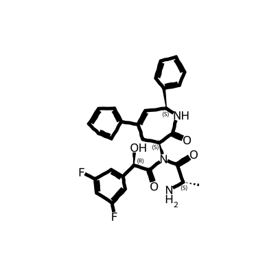 C[C@H](N)C(=O)N(C(=O)[C@H](O)c1cc(F)cc(F)c1)[C@H]1CC(c2ccccc2)=C[C@@H](c2ccccc2)NC1=O